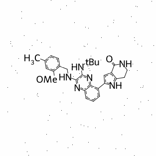 COc1cc(C)ccc1CNc1nc2cccc(-c3cc4c([nH]3)CCNC4=O)c2nc1NC(C)(C)C